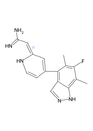 Cc1c(F)c(C)c2[nH]ncc2c1C1=C/C(=C/C(=N)N)NC=C1